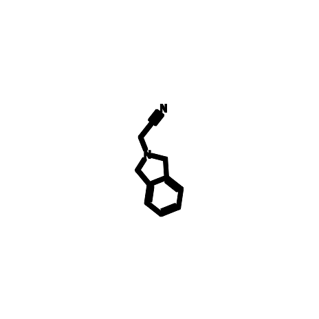 N#CCN1Cc2ccccc2C1